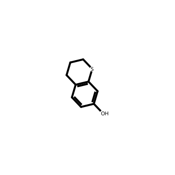 Oc1ccc2c(c1)SCCC2